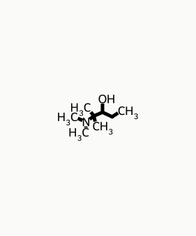 CCC(O)C(C)(C)N(C)C